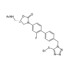 CCSc1nnnn1Cc1ccc(-c2ccc(N3C[C@H](CNC(C)=O)OC3=O)cc2F)cc1